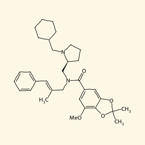 COc1cc(C(=O)N(CC(C)=Cc2ccccc2)C[C@@H]2CCCN2CC2CCCCC2)cc2c1OC(C)(C)O2